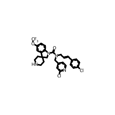 O=C(N(CC=Cc1ccc(Cl)cc1)Cc1ccnc(Cl)c1)N1CC2(CCNCC2)c2cc(OC(F)(F)F)ccc21